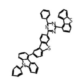 c1ccc(-c2nc(-c3ccc4c(c3)sc3ccc(-c5cccc6c5c5ccccc5n6-c5ccccc5)cc34)nc(-c3cccc4sc5ccccc5c34)n2)cc1